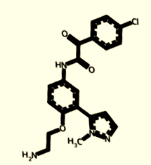 Cn1nccc1-c1cc(NC(=O)C(=O)c2ccc(Cl)cc2)ccc1OCCN